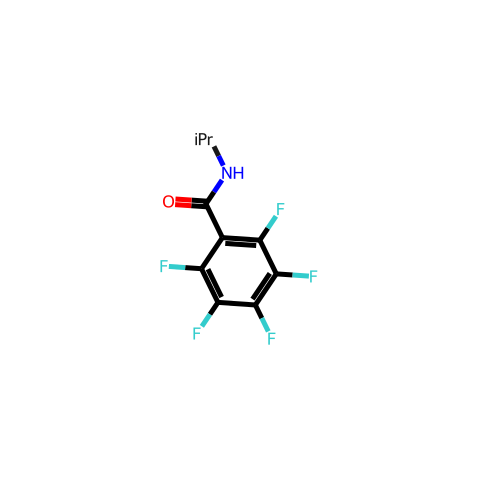 CC(C)NC(=O)c1c(F)c(F)c(F)c(F)c1F